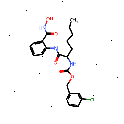 CCCCCC(NC(=O)OCc1cccc(Cl)c1)C(=O)Nc1ccccc1C(=O)NO